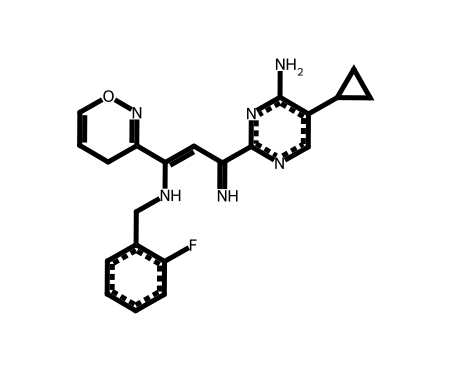 N=C(/C=C(\NCc1ccccc1F)C1=NOC=CC1)c1ncc(C2CC2)c(N)n1